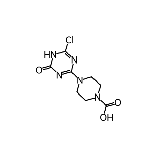 O=C(O)N1CCN(c2nc(Cl)[nH]c(=O)n2)CC1